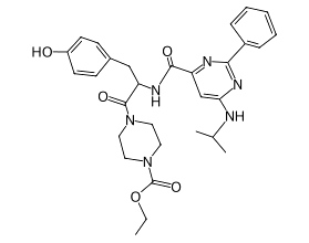 CCOC(=O)N1CCN(C(=O)C(Cc2ccc(O)cc2)NC(=O)c2cc(NC(C)C)nc(-c3ccccc3)n2)CC1